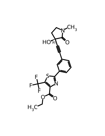 CCOC(=O)c1nc(-c2cccc(C#C[C@]3(O)CCN(C)C3=O)c2)sc1C(F)(F)F